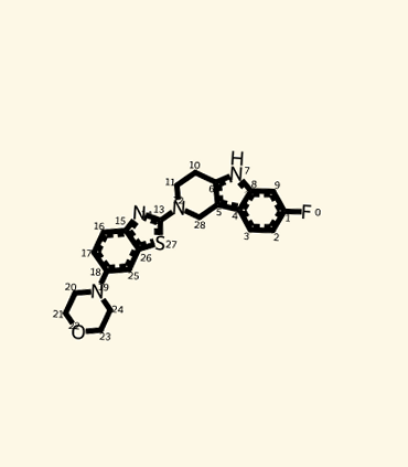 Fc1ccc2c3c([nH]c2c1)CCN(c1nc2ccc(N4CCOCC4)cc2s1)C3